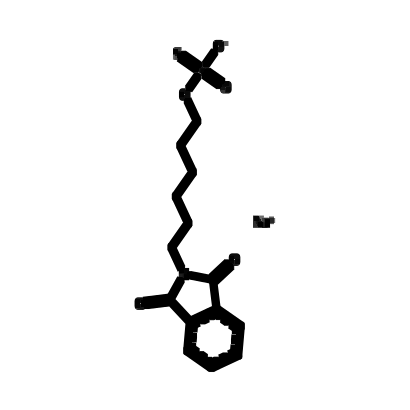 O=C1c2ccccc2C(=O)N1CCCCCCOS(=O)([O-])=S.[Na+]